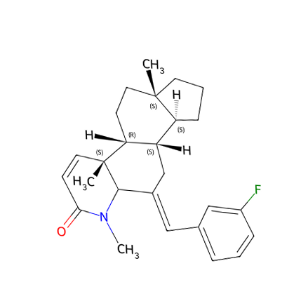 CN1C(=O)C=C[C@@]2(C)C1C(=Cc1cccc(F)c1)C[C@@H]1[C@H]2CC[C@]2(C)CCC[C@@H]12